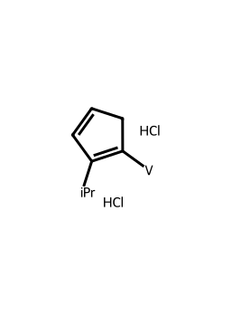 CC(C)C1=[C]([V])CC=C1.Cl.Cl